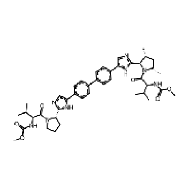 COC(=O)N[C@H](C(=O)N1CCC[C@H]1c1ncc(-c2ccc(-c3ccc(-c4cnc([C@H]5[C@H](C)C[C@H](C)N5C(=O)[C@@H](NC(=O)OC)C(C)C)[nH]4)cc3)cc2)[nH]1)C(C)C